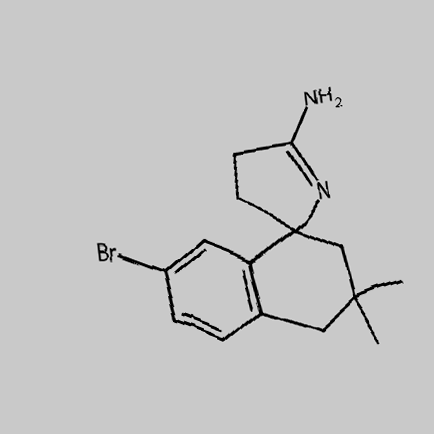 CC1(C)Cc2ccc(Br)cc2C2(CCC(N)=N2)C1